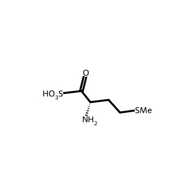 CSCC[C@H](N)C(=O)S(=O)(=O)O